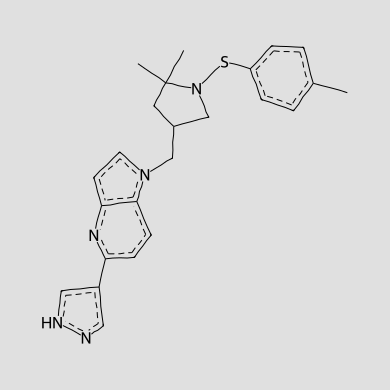 Cc1ccc(SN2CC(Cn3ccc4nc(-c5cn[nH]c5)ccc43)CC2(C)C)cc1